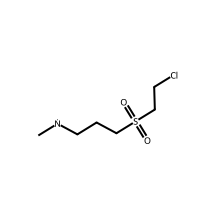 C[N]CCCS(=O)(=O)CCCl